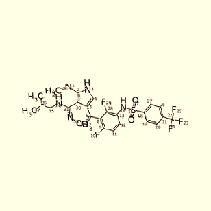 C=Nc1[nH]cc(C(=O)c2c(F)ccc(NS(=O)(=O)c3ccc(C(F)(F)F)cc3)c2F)c1/C(=N\C)NCC(C)C